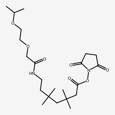 CC(C)OCCOCC(=O)NCCC(C)(C)CC(C)(C)CC(=O)ON1C(=O)CCC1=O